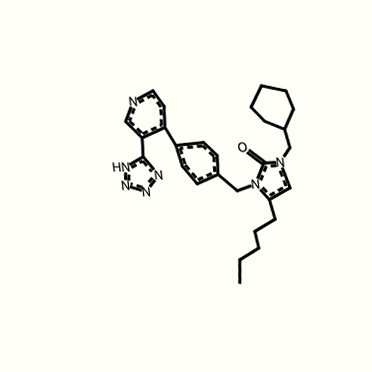 CCCCCc1cn(CC2CCCCC2)c(=O)n1Cc1ccc(-c2ccncc2-c2nnn[nH]2)cc1